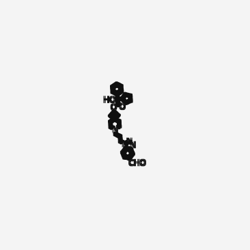 O=Cc1ccc2c(c1)nnn2CCCN1CCC2(CC1)CC(OC(=O)C(O)(c1ccccc1)C1CCCC1)C2